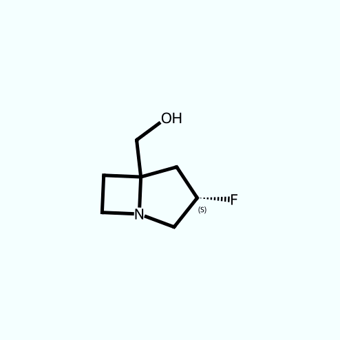 OCC12CCN1C[C@@H](F)C2